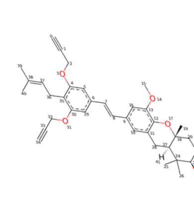 C#CCOc1cc(/C=C/c2cc3c(c(OC)c2)O[C@]2(C)CC[C@@H](O)C(C)(C)[C@H]2C3)cc(OCC#C)c1CC=C(C)C